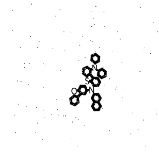 c1ccc(N(c2ccccc2)c2cccc3sc4c(N(c5ccc6ccccc6c5)c5ccc6oc7ccccc7c6c5)cccc4c23)cc1